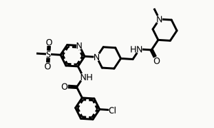 CN1CCCC(C(=O)NCC2CCN(c3ncc(S(C)(=O)=O)cc3NC(=O)c3cccc(Cl)c3)CC2)C1